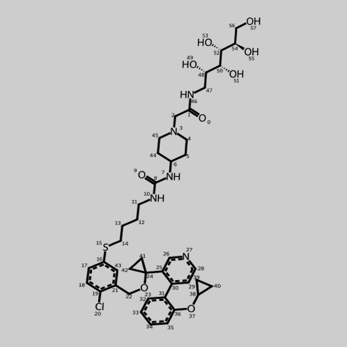 O=C(CN1CCC(NC(=O)NCCCCSc2ccc(Cl)c(COC3(c4cnccc4-c4ccccc4OC4CC4)CC3)c2)CC1)NC[C@H](O)[C@@H](O)[C@H](O)[C@H](O)CO